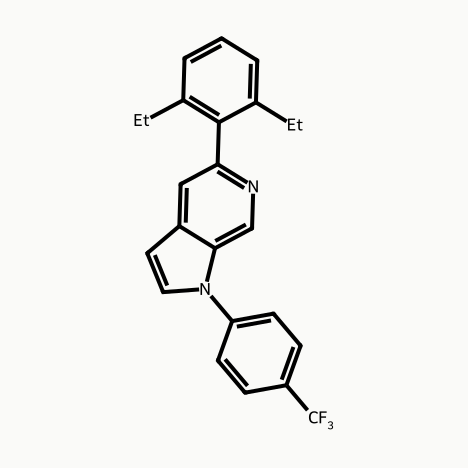 CCc1cccc(CC)c1-c1cc2ccn(-c3ccc(C(F)(F)F)cc3)c2cn1